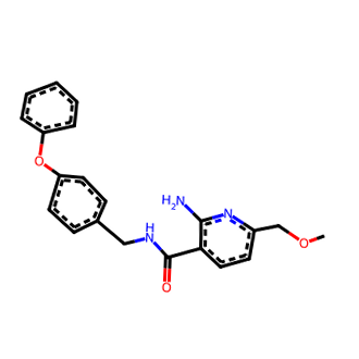 COCc1ccc(C(=O)NCc2ccc(Oc3ccccc3)cc2)c(N)n1